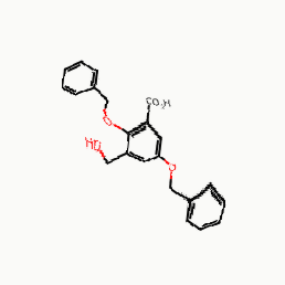 O=C(O)c1cc(OCc2ccccc2)cc(CO)c1OCc1ccccc1